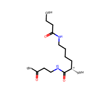 CN[C@@H](CCCCNC(=O)CCOC)C(=O)NCCC(=O)C(C)(C)C